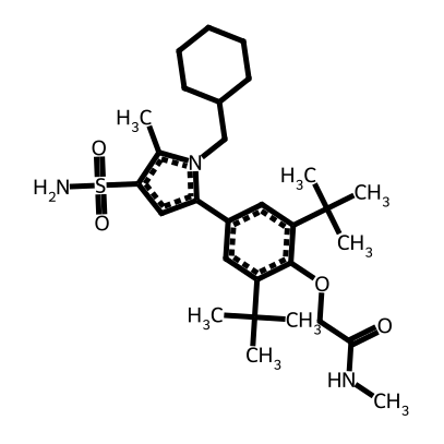 CNC(=O)COc1c(C(C)(C)C)cc(-c2cc(S(N)(=O)=O)c(C)n2CC2CCCCC2)cc1C(C)(C)C